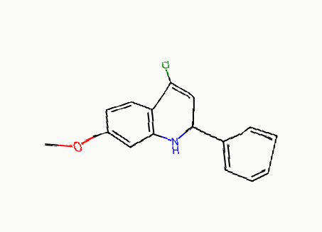 COc1ccc2c(c1)NC(c1ccccc1)C=C2Cl